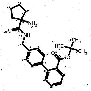 CC(C)(C)OC(=O)c1ccccc1-c1ccc(CNC(=O)C2(N)CCCC2)cc1